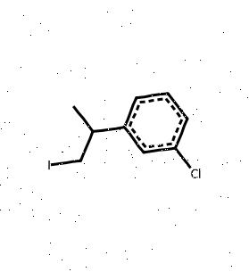 CC(CI)c1cccc(Cl)c1